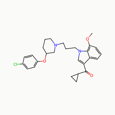 COc1cccc2c(C(=O)C3CC3)cn(CCCN3CCCC(Oc4ccc(Cl)cc4)C3)c12